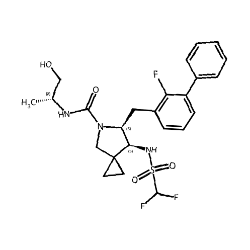 C[C@H](CO)NC(=O)N1CC2(CC2)[C@H](NS(=O)(=O)C(F)F)[C@@H]1Cc1cccc(-c2ccccc2)c1F